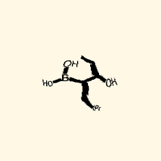 C/C=C(O)\C(=C/C(C)C)B(O)O